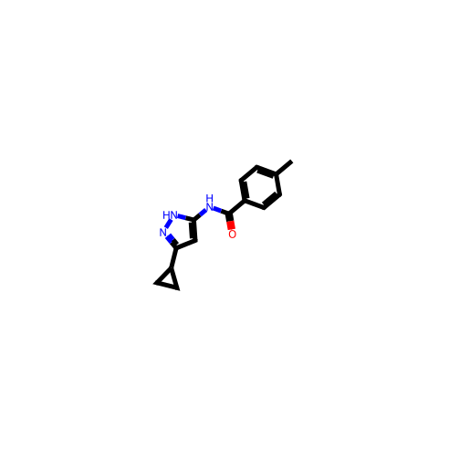 Cc1ccc(C(=O)Nc2cc(C3CC3)n[nH]2)cc1